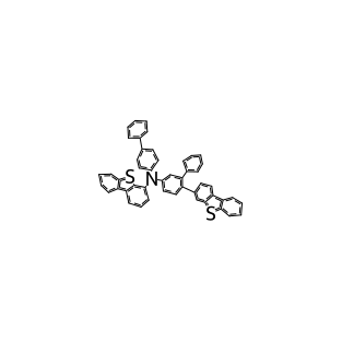 c1ccc(-c2ccc(N(c3ccc(-c4ccc5c(c4)sc4ccccc45)c(-c4ccccc4)c3)c3cccc4c3sc3ccccc34)cc2)cc1